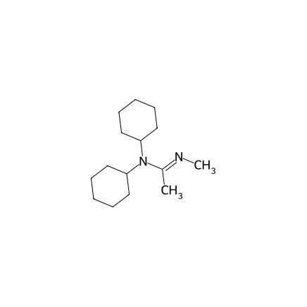 CN=C(C)N(C1CCCCC1)C1CCCCC1